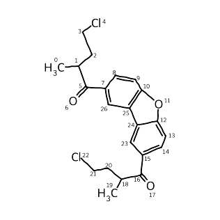 CC(CCCl)C(=O)c1ccc2oc3ccc(C(=O)C(C)CCCl)cc3c2c1